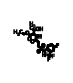 CCOC(=O)C(NC(=O)CCS(=O)(=O)Nc1ccc(F)cc1C(F)(F)F)C(C)O